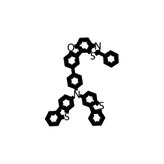 c1ccc(-c2nc3ccc4oc5ccc(-c6ccc(N(c7ccc8c(c7)sc7ccccc78)c7ccc8sc9ccccc9c8c7)cc6)cc5c4c3s2)cc1